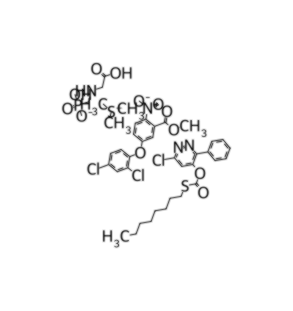 CCCCCCCCSC(=O)Oc1cc(Cl)nnc1-c1ccccc1.COC(=O)c1cc(Oc2ccc(Cl)cc2Cl)ccc1[N+](=O)[O-].C[S+](C)C.O=C(O)CNCP(=O)([O-])O